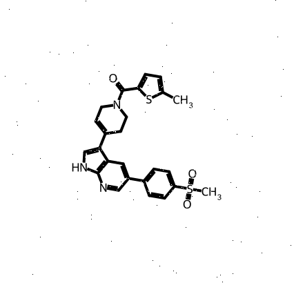 Cc1ccc(C(=O)N2CC=C(c3c[nH]c4ncc(-c5ccc(S(C)(=O)=O)cc5)cc34)CC2)s1